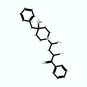 O=C(c1ccccc1)C(F)CC(F)N1CCC(O)(Cc2ccccc2)CC1